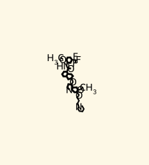 COc1ccc(C(F)(F)F)cc1NC(=O)c1cccc2cc(Oc3ccnc4cc(OCCCN5CCCCC5)c(OC)cc34)ccc12